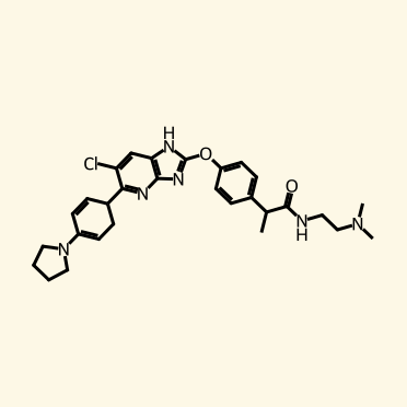 CC(C(=O)NCCN(C)C)c1ccc(Oc2nc3nc(C4C=CC(N5CCCC5)=CC4)c(Cl)cc3[nH]2)cc1